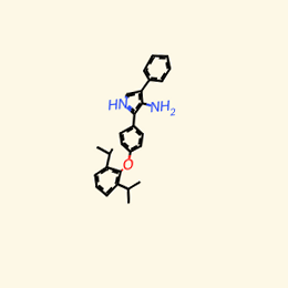 CC(C)c1cccc(C(C)C)c1Oc1ccc(-c2[nH]cc(-c3ccccc3)c2N)cc1